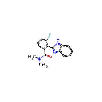 CN(C)C(=O)c1cccc(F)c1-c1nc2ccccc2[nH]1